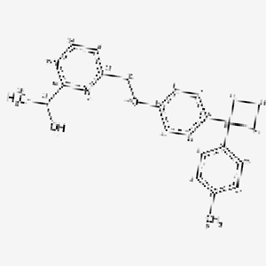 Cc1ccc(C2(c3ccc(OCc4ccnc(C(C)O)n4)cc3)CCC2)cc1